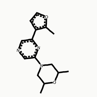 Cc1occc1-c1cncc(N2CC(C)OC(C)C2)n1